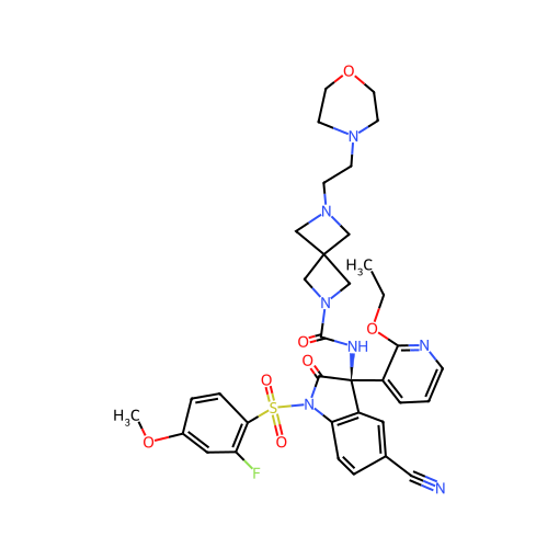 CCOc1ncccc1[C@@]1(NC(=O)N2CC3(CN(CCN4CCOCC4)C3)C2)C(=O)N(S(=O)(=O)c2ccc(OC)cc2F)c2ccc(C#N)cc21